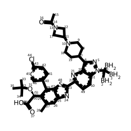 BC(B)(B)n1nc(C2CCN(C3CN(C(C)=O)C3)CC2)c2nc(-c3nc4cc(C)c([C@H](OC(C)(C)C)C(=O)O)c(-c5ccc(Cl)cc5)c4s3)ccc21